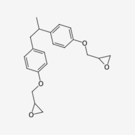 CC(Cc1ccc(OCC2CO2)cc1)c1ccc(OCC2CO2)cc1